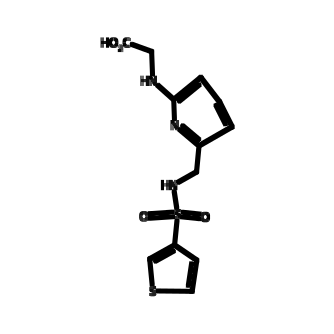 O=C(O)CNc1cccc(CNS(=O)(=O)c2ccsc2)n1